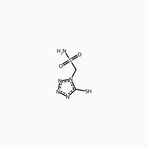 NS(=O)(=O)Cn1nnnc1S